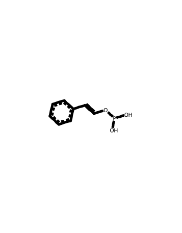 OP(O)OC=Cc1ccccc1